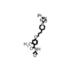 Cc1cc(OCCCC2CCN(c3nc(C(C)C)no3)CC2)ccc1C(=O)NC1COC1